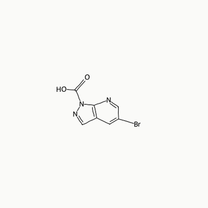 O=C(O)n1ncc2cc(Br)cnc21